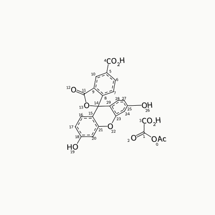 CC(=O)OC(=O)C(=O)O.O=C(O)c1ccc2c(c1)C(=O)OC21c2ccc(O)cc2Oc2cc(O)ccc21